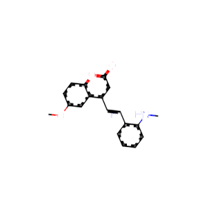 CNc1ccccc1/C=C/c1cc(=O)oc2ccc(OC)cc12